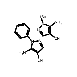 CC(C)(C)n1ncc(C#N)c1N.N#Cc1cnn(-c2ccccc2)c1N